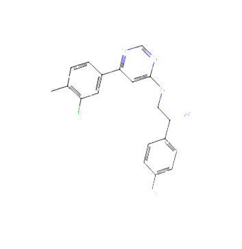 Cc1ccc(-c2cc(NC[C@H](N)c3ccc(C#N)cc3)ncn2)cc1Cl